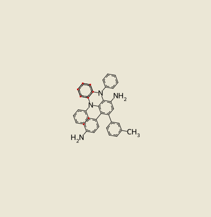 Cc1cccc(-c2cc(N)c(N(c3ccccc3)c3ccccc3)c(N(c3ccccc3)c3ccccc3)c2-c2ccc(N)cc2)c1